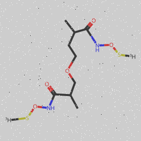 [3H]SONC(=O)C(C)CCOCC(C)C(=O)NOS[3H]